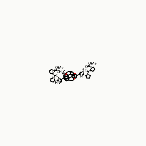 COC(=O)N1CCC[C@H]1C(=O)N1CCC[C@H]1c1nc(-c2ccc(-c3cc4ccc3CCc3ccc(c(-c5ccc(-c6c[nH]c([C@@H]7CCCN7C(=O)[C@@H]7CCCN7C(=O)OC)n6)cc5)c3)C[C@H]4C)cc2)c[nH]1